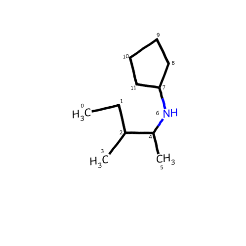 CCC(C)C(C)NC1CCCC1